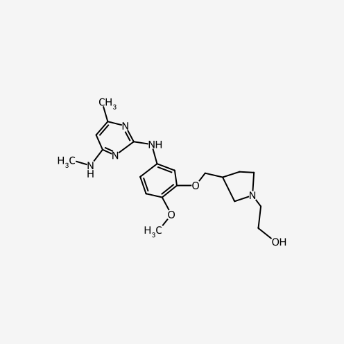 CNc1cc(C)nc(Nc2ccc(OC)c(OCC3CCN(CCO)C3)c2)n1